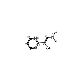 CC(=O)C(=CN(C)C)c1ccccn1